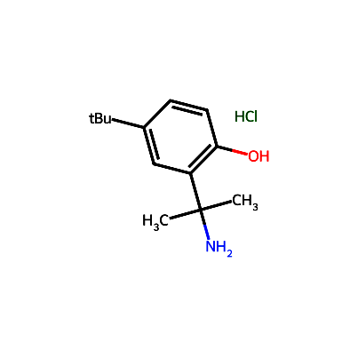 CC(C)(C)c1ccc(O)c(C(C)(C)N)c1.Cl